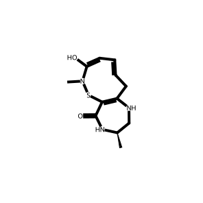 C[C@@H]1CNC2=C(SN(C)/C(O)=C\C=C\C2)C(=O)N1